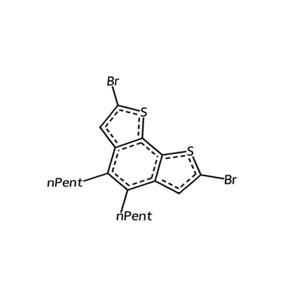 CCCCCc1c(CCCCC)c2cc(Br)sc2c2sc(Br)cc12